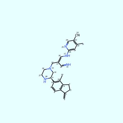 C=C1CCc2c1ccc([C@@H]1CN(C/C(C=N)=C/Nc3cc(C)c(C#N)cn3)CCN1)c2C